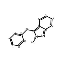 Cn1nc2ccccc2c1Cc1ccccc1